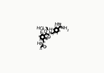 CCOC(C(=O)NCc1ccc(C(=N)N)cc1)c1c(F)ccc(CNC(C)=O)c1F.Cl